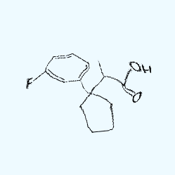 CC(C(=O)O)C1(c2cccc(F)c2)CCCC1